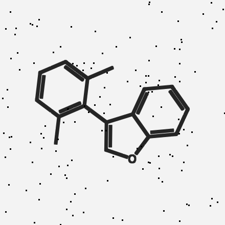 Cc1cccc(C)c1-c1coc2ccccc12